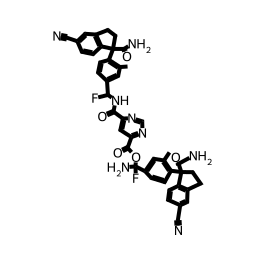 Cc1cc(C(F)NC(=O)c2cc(C(=O)OC(N)(F)c3ccc(C4(C(N)=O)CCc5cc(C#N)ccc54)c(C)c3)ncn2)ccc1C1(C(N)=O)CCc2cc(C#N)ccc21